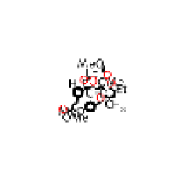 CCC(=O)O[C@@H](C[C@@H](C[C@H](OCc1ccc(OC)cc1)/C(C)=C\[C@@H](CC)COCOCCOC)OC)C(C)(C)c1cccc(C/C=C/C(=O)OC)c1